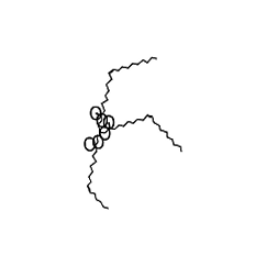 CCCCC/C=C\CCCCCCCC(=O)OC[C@H](COC(=O)CCCCCCC/C=C\CCCCCCCCC)OC(=O)CCCCCCC/C=C\CCCCCCCCC